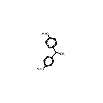 [CH2]C(c1ccc(OC)cc1)c1ccc(OC)cc1